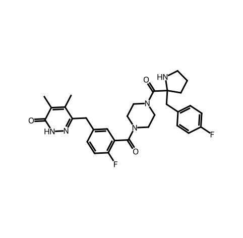 Cc1c(Cc2ccc(F)c(C(=O)N3CCN(C(=O)C4(Cc5ccc(F)cc5)CCCN4)CC3)c2)n[nH]c(=O)c1C